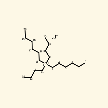 CCCCCC[P+](CCCC)(CCCC)CCCCCC.[I-]